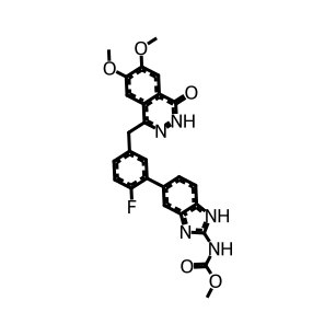 COC(=O)Nc1nc2cc(-c3cc(Cc4n[nH]c(=O)c5cc(OC)c(OC)cc45)ccc3F)ccc2[nH]1